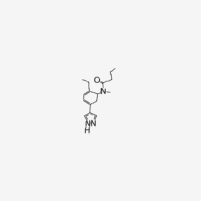 CCCC(=O)N(C)C1CC(c2cn[nH]c2)=CC=C1CC